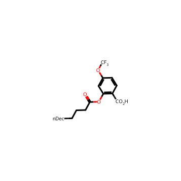 CCCCCCCCCCCCCC(=O)Oc1cc(OC(F)(F)F)ccc1C(=O)O